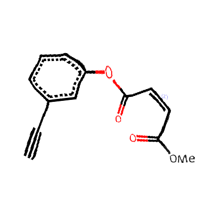 C#Cc1cccc(OC(=O)/C=C\C(=O)OC)c1